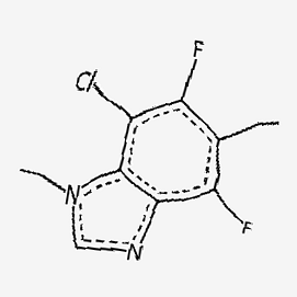 Cc1c(F)c(Cl)c2c(ncn2C)c1F